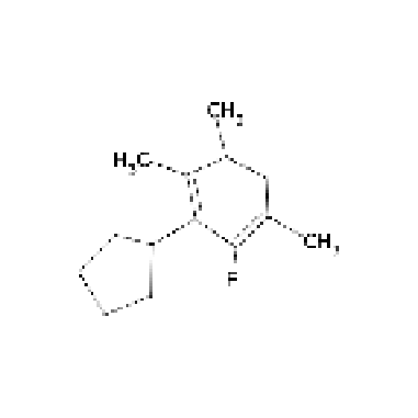 CC1=C(F)C(C2CCCC2)=C(C)C(C)C1